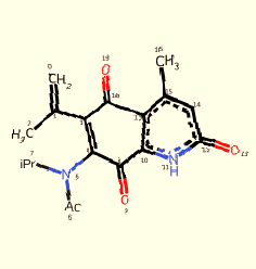 C=C(C)C1=C(N(C(C)=O)C(C)C)C(=O)c2[nH]c(=O)cc(C)c2C1=O